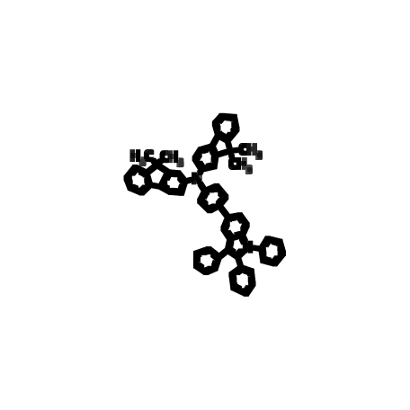 CC1(C)c2ccccc2-c2ccc(N(c3ccc(-c4ccc5c(c4)c(-c4ccccc4)c(-c4ccccc4)n5-c4ccccc4)cc3)c3ccc4c(c3)C(C)(C)c3ccccc3-4)cc21